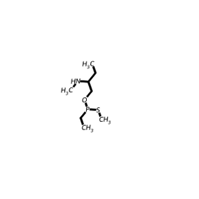 CCC(COP(CC)SC)NC